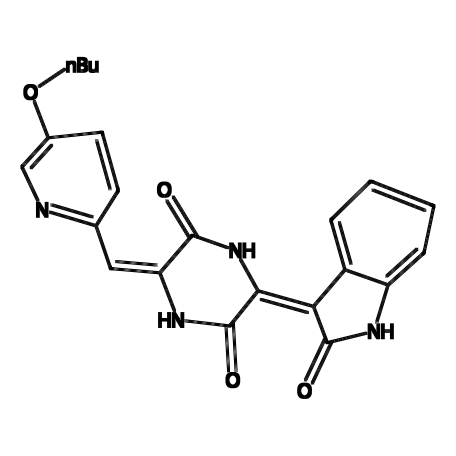 CCCCOc1ccc(C=c2[nH]c(=O)/c(=C3\C(=O)Nc4ccccc43)[nH]c2=O)nc1